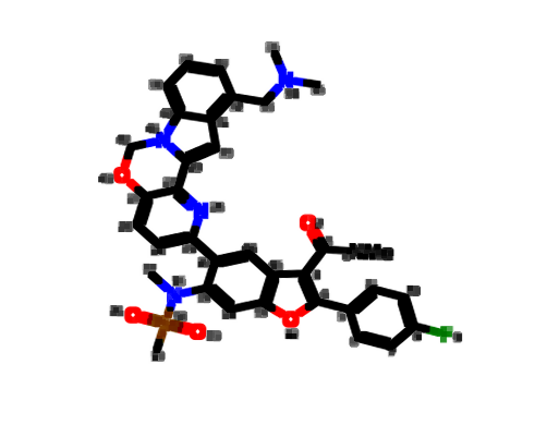 CNC(=O)c1c(-c2ccc(F)cc2)oc2cc(N(C)S(C)(=O)=O)c(-c3ccc4c(n3)-c3cc5c(CN(C)C)cccc5n3CO4)cc12